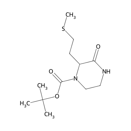 CSCCC1C(=O)NCCN1C(=O)OC(C)(C)C